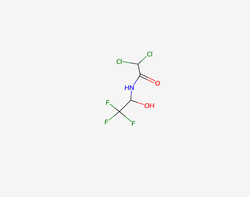 O=C(NC(O)C(F)(F)F)C(Cl)Cl